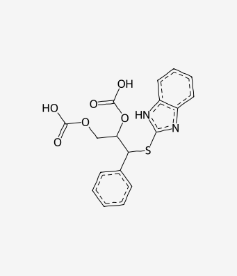 O=C(O)OCC(OC(=O)O)C(Sc1nc2ccccc2[nH]1)c1ccccc1